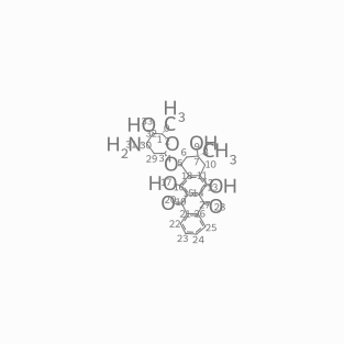 C[C@@H]1O[C@@H](O[C@H]2C[C@@](C)(O)Cc3c(O)c4c(c(O)c32)C(=O)c2ccccc2C4=O)C[C@H](N)[C@@H]1O